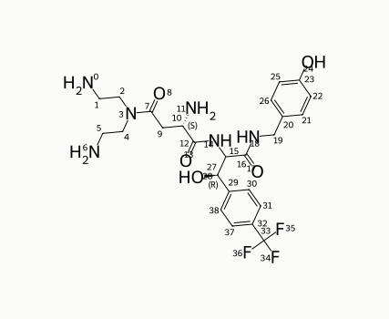 NCCN(CCN)C(=O)C[C@H](N)C(=O)NC(C(=O)NCc1ccc(O)cc1)[C@H](O)c1ccc(C(F)(F)F)cc1